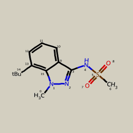 Cn1nc(NS(C)(=O)=O)c2cccc(C(C)(C)C)c21